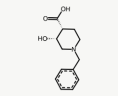 O=C(O)[C@@H]1CCN(Cc2ccccc2)C[C@@H]1O